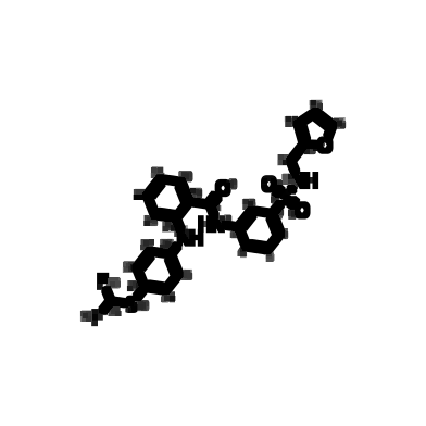 O=C(Nc1cccc(S(=O)(=O)NCc2ccco2)c1)c1ccccc1Nc1ccc(SC(F)F)cc1